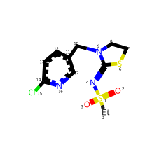 CCS(=O)(=O)N=C1SCCN1Cc1ccc(Cl)nc1